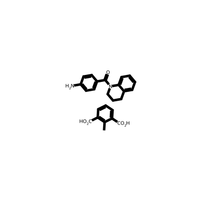 Cc1c(C(=O)O)cccc1C(=O)O.Nc1ccc(C(=O)N2CCCc3ccccc32)cc1